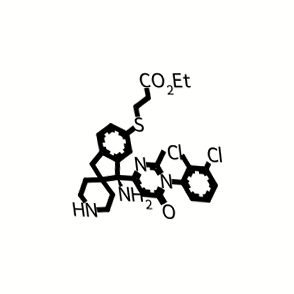 CCOC(=O)CCSc1ccc2c(c1)[C@](N)(c1cc(=O)n(-c3cccc(Cl)c3Cl)c(C)n1)C1(CCNCC1)C2